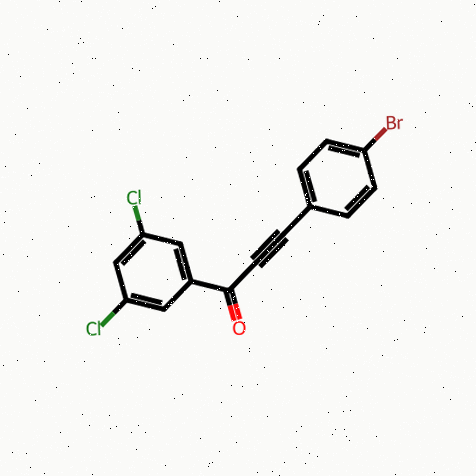 O=C(C#Cc1ccc(Br)cc1)c1cc(Cl)cc(Cl)c1